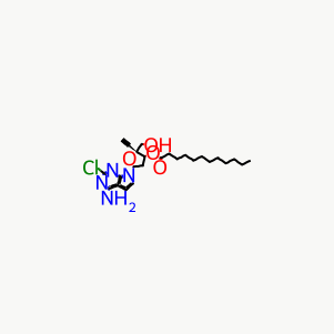 C#C[C@]1(CO)O[C@@H](n2ccc3c(N)nc(Cl)nc32)C[C@@H]1OC(=O)CCCCCCCCCCC